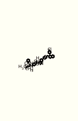 CN(C)CCC(CSc1ccccc1)Nc1ccc(S(=O)(=O)Nc2ncnc3cc(N4CCN(Cc5ccc6ccccc6c5-c5ccc(Cl)cc5)CC4)ccc23)cc1[N+](=O)[O-]